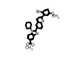 COC(=O)c1ccc2c(c1)nc(-c1ccc3nc(-c4cc(OC)ccc4Br)ccc3c1)n2C1CCCCC1